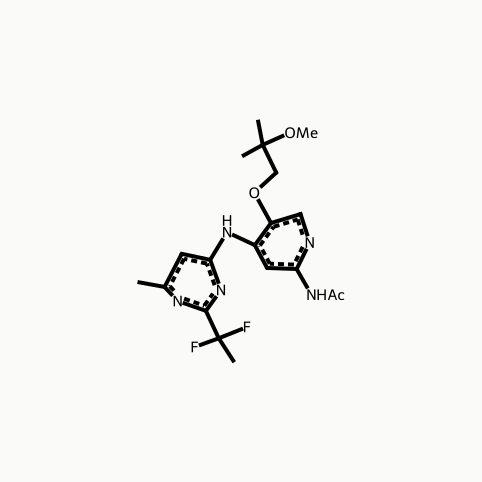 COC(C)(C)COc1cnc(NC(C)=O)cc1Nc1cc(C)nc(C(C)(F)F)n1